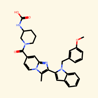 COc1cccc(Cn2c(-c3nc4cc(C(=O)N5CCCC(NC(=O)O)C5)ccn4c3C)cc3ccccc32)c1